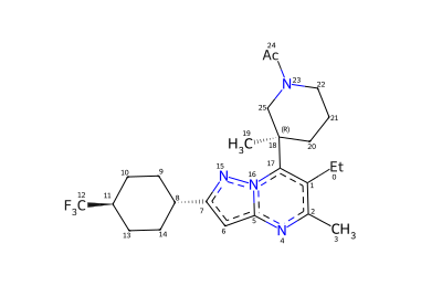 CCc1c(C)nc2cc([C@H]3CC[C@H](C(F)(F)F)CC3)nn2c1[C@]1(C)CCCN(C(C)=O)C1